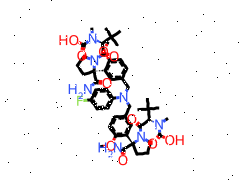 COc1ccc(CN(Cc2ccc(OC)c([C@]3(C(N)=O)CCCN3C(=O)[C@@H](N(C)C(=O)O)C(C)(C)C)c2)c2ccc(F)cc2)cc1[C@]1(C(N)=O)CCCN1C(=O)[C@@H](N(C)C(=O)O)C(C)(C)C